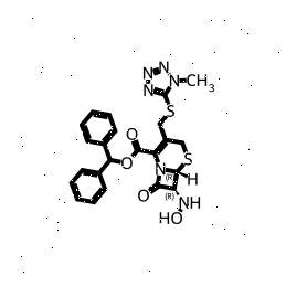 Cn1nnnc1SCC1=C(C(=O)OC(c2ccccc2)c2ccccc2)N2C(=O)[C@@H](NO)[C@H]2SC1